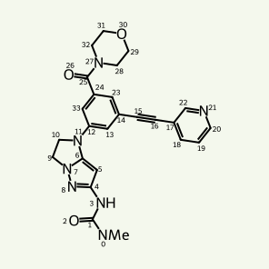 CNC(=O)Nc1cc2n(n1)CCN2c1cc(C#Cc2cccnc2)cc(C(=O)N2CCOCC2)c1